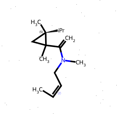 C=C(N(C)C/C=C\C)C1(C)C[C@@]1(C)C(C)C